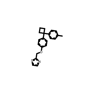 Cc1ccc(C2(c3ccc(OCc4nccs4)cc3)CCC2)cc1